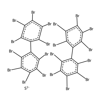 Brc1c(Br)c(Br)c(-c2c(Br)c(Br)c(Br)c(Br)c2Br)c(Br)c1Br.Brc1c(Br)c(Br)c(-c2c(Br)c(Br)c(Br)c(Br)c2Br)c(Br)c1Br.[S-2]